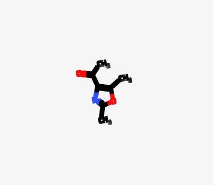 CC(=O)c1nc(C)oc1C